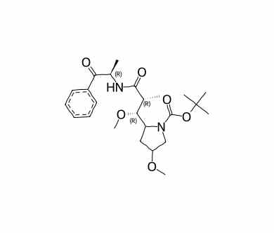 COC1CC([C@H](OC)[C@@H](C)C(=O)N[C@H](C)C(=O)c2ccccc2)N(C(=O)OC(C)(C)C)C1